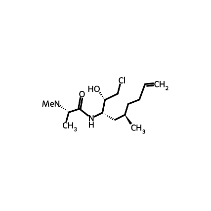 C=CCC[C@@H](C)C[C@H](NC(=O)[C@H](C)NC)[C@H](O)CCl